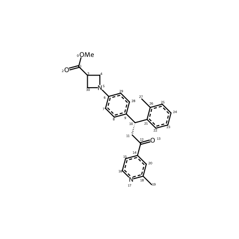 COC(=O)C1CN(c2ccc([C@@H](CC(=O)c3ccnc(C)c3)c3ccccc3C)cc2)C1